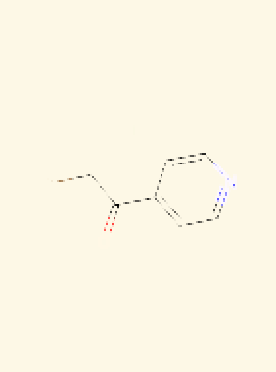 Cl.O=C(CBr)c1ccncc1